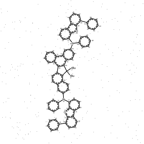 CC(C)(C)C1(C(C)(C)C)c2c(ccc3cc(N(c4ccccc4)c4cccc5c4oc4c(-c6ccccc6)cccc45)ccc23)-c2c1c1ccc(N(c3ccccc3)c3cccc4c3oc3c(-c5ccccc5)cccc34)cc1c1ccccc21